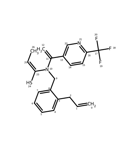 C=CCc1ccccc1CN(C(=C)c1ccc(C(F)(F)F)nc1)/C(S)=C\C